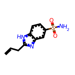 C=CCc1nc2cc(S(N)(=O)=O)ccc2[nH]1